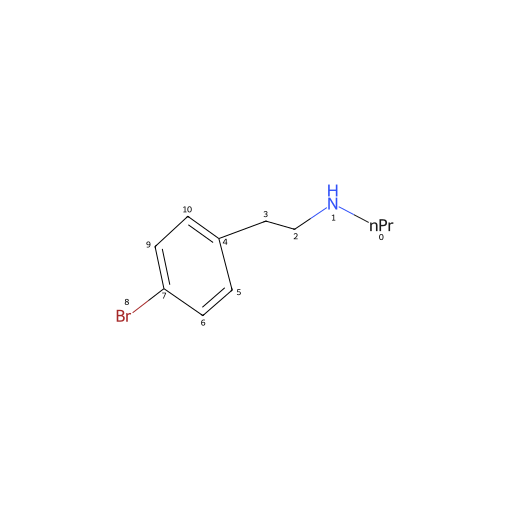 CCCNCCc1ccc(Br)cc1